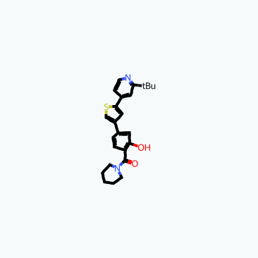 CC(C)(C)c1cc(-c2cc(-c3ccc(C(=O)N4CCCCC4)c(O)c3)cs2)ccn1